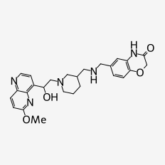 COc1ccc2nccc(C(O)CN3CCCC(CNCc4ccc5c(c4)NC(=O)CO5)C3)c2n1